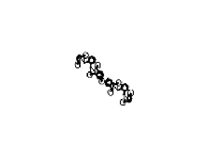 O=C1C=CC(=O)N1CC1CCCCC1CN1C(=O)c2ccc(Oc3ccc4c(c3)C(=O)N(CC3CCCCC3CN3C(=O)C=CC3=O)C4=O)cc2C1=O